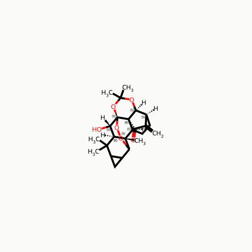 C=C1C(=O)[C@@]23[C@H]4OC(C)(C)O[C@]25OOC2C6CC6C(C)(C)[C@@H]([C@@H]5O)[C@]2(C)[C@@H]3CC[C@@H]14